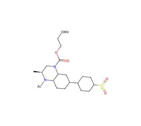 COCCOC(=O)N1C[C@H](C)N(C(C)=O)C2CCC(C3CCC([SH](=O)=O)CC3)CC21